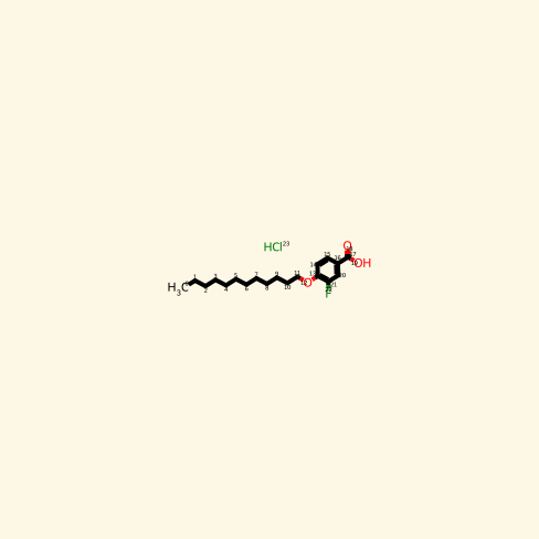 CCCCCCCCCCCCOc1ccc(C(=O)O)cc1F.Cl